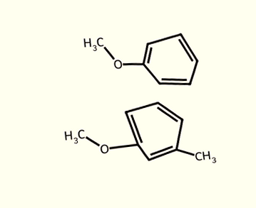 COc1cccc(C)c1.COc1ccccc1